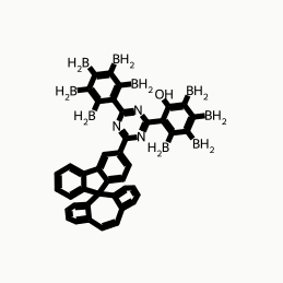 Bc1c(B)c(B)c(-c2nc(-c3ccc4c(c3)-c3ccccc3C43c4ccccc4C=Cc4ccccc43)nc(-c3c(B)c(B)c(B)c(B)c3O)n2)c(B)c1B